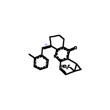 Cc1ccccc1/C=C1/CCCc2c1nc1n(c2=O)C2CC2(C(=O)O)C=C1